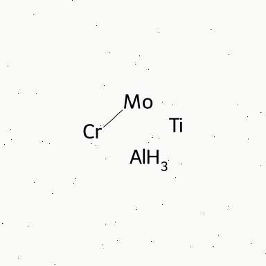 [AlH3].[Cr][Mo].[Ti]